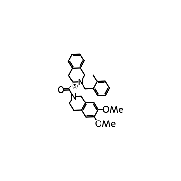 COc1cc2c(cc1OC)CN(C(=O)[C@@H]1Cc3ccccc3CN1Cc1ccccc1C)CC2